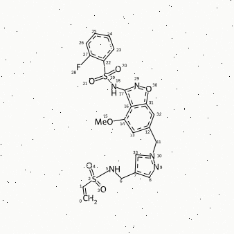 C=CS(=O)(=O)NCc1cnn(Cc2cc(OC)c3c(NS(=O)(=O)c4ccccc4F)noc3c2)c1